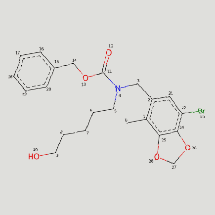 Cc1c(CN(CCCCCO)C(=O)OCc2ccccc2)cc(Br)c2c1OCO2